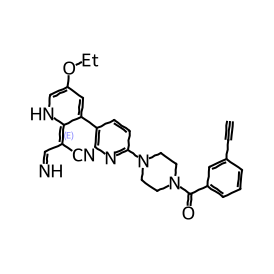 C#Cc1cccc(C(=O)N2CCN(c3ccc(C4=CC(OCC)=CN/C4=C(/C#N)C=N)cn3)CC2)c1